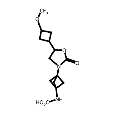 O=C(O)NC12CC(N3CC(C4CC(OC(F)(F)F)C4)OC3=O)(C1)C2